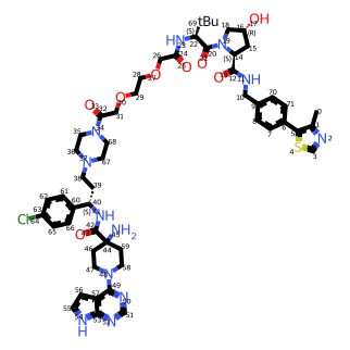 Cc1ncsc1-c1ccc(CNC(=O)[C@@H]2C[C@@H](O)CN2C(=O)[C@@H](NC(=O)COCCOCC(=O)N2CCN(CC[C@H](NC(=O)C3(N)CCN(c4ncnc5[nH]ccc45)CC3)c3ccc(Cl)cc3)CC2)C(C)(C)C)cc1